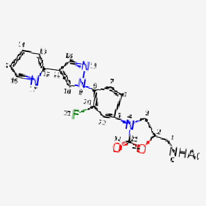 CC(=O)NCC1CN(c2ccc(-n3cc(-c4ccccn4)cn3)c(F)c2)C(=O)O1